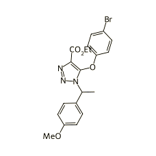 CCOC(=O)c1nnn(C(C)c2ccc(OC)cc2)c1Oc1ccc(Br)cc1